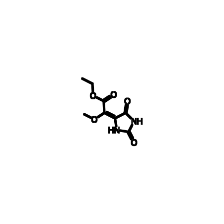 CCOC(=O)C(OC)=C1NC(=O)NC1=O